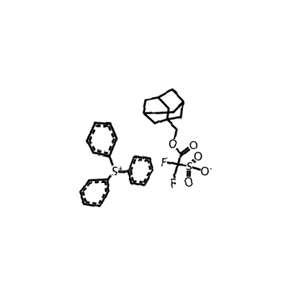 O=C(OCC12CC3CC(CC(C3)C1)C2)C(F)(F)S(=O)(=O)[O-].c1ccc([S+](c2ccccc2)c2ccccc2)cc1